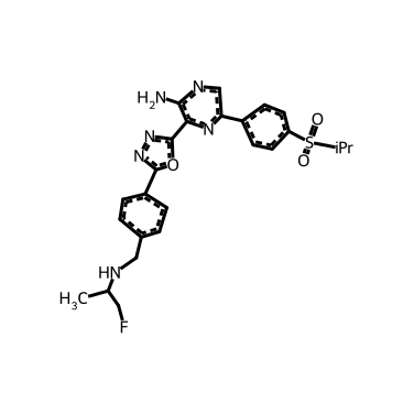 CC(CF)NCc1ccc(-c2nnc(-c3nc(-c4ccc(S(=O)(=O)C(C)C)cc4)cnc3N)o2)cc1